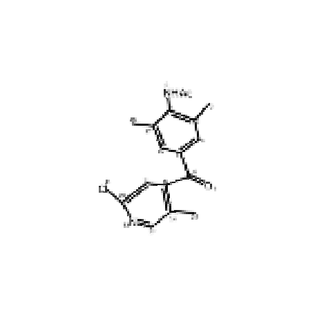 CC(=O)Nc1c(C)cc(C(=O)c2cc(Cl)ncc2C)cc1C